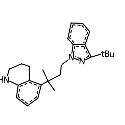 CC(C)(C)c1nn(CCC(C)(C)c2cccc3c2CCCN3)c2ccccc12